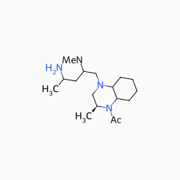 CNC(CC(C)N)CN1C[C@H](C)N(C(C)=O)C2CCCCC21